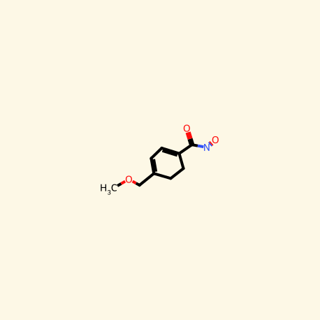 COCC1=CC=C(C(=O)N=O)CC1